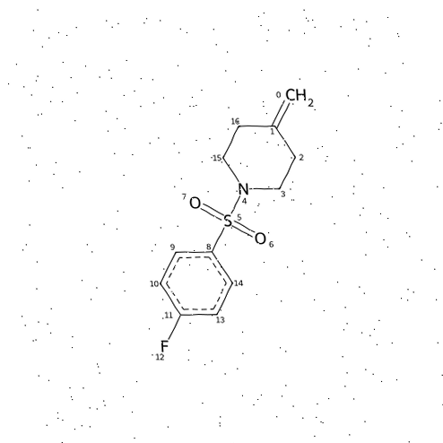 C=C1CCN(S(=O)(=O)c2ccc(F)cc2)CC1